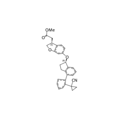 COC(=O)C[C@@H]1COc2cc(O[C@@H]3CCc4c(-c5ccccc5C5(C#N)CC5)cccc43)ccc21